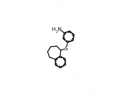 Nc1cccc(SC2CCCCc3ccccc32)c1